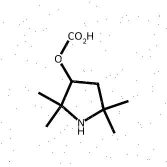 CC1(C)CC(OC(=O)O)C(C)(C)N1